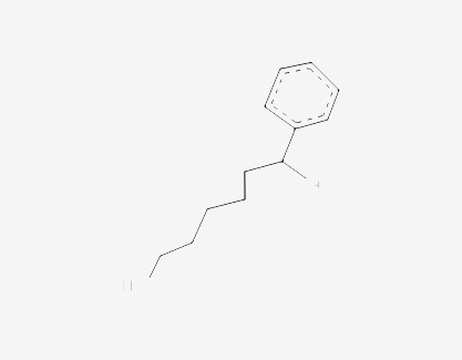 CCCCCCC(Br)c1ccccc1